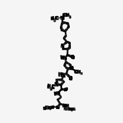 CCCCCCC/N=C(\CCNC(=O)c1cc(NC(=O)c2cc(NC(=O)c3ccc(/C=C/c4ccc(N(C)C)cc4)nc3)cn2C)cn1C)NCCCCCCC